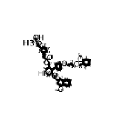 COc1ccccc1COCCCOc1ccc(C2C(COC(=O)Cc3cccc(CON(O)O)c3)CNCC2OCc2cc(OC)c3ccccc3c2)cc1